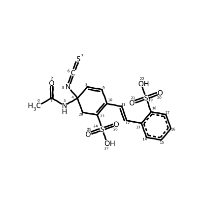 CC(=O)NC1(N=C=S)C=CC(C=Cc2ccccc2S(=O)(=O)O)=C(S(=O)(=O)O)C1